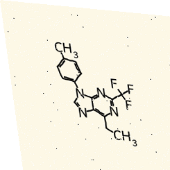 CCc1nc(C(F)(F)F)nc2c1ncn2-c1ccc(C)cc1